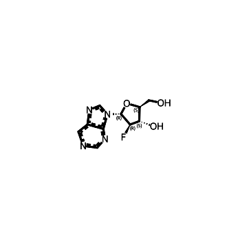 OC[C@@H]1O[C@@H](n2cnc3cncnc32)[C@H](F)[C@H]1O